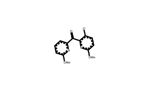 COc1cccc(C(=O)c2nc(OC)ccc2Cl)n1